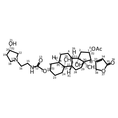 CC(=O)O[C@H]1C[C@]2(O)[C@@H]3CC[C@@H]4C[C@@H](OC(=O)NCCN5CC[C@H](O)C5)CC[C@]4(C)[C@H]3CC[C@]2(C)[C@H]1C1=CC(=O)OC1